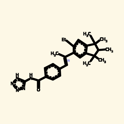 CCc1cc2c(cc1/C(C)=C/c1ccc(C(=O)Nc3nnn[nH]3)cc1)C(C)(C)C(C)C2(C)C